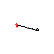 COC(CCCCCCCCCCCCCCCCC=Cc1ccccc1)OC